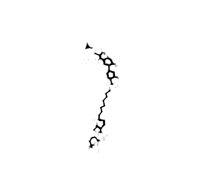 CNc1c(C(=O)NC2CC2)cnc2cc(F)c(-c3ccc(C(=O)NCCCCCCCCc4ccc5c(n4)CN(C4CCC(=O)NC4=O)C5=O)c(F)c3)cc12